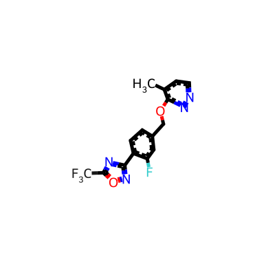 Cc1ccnnc1OCc1ccc(-c2noc(C(F)(F)F)n2)c(F)c1